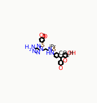 CC(C)N(CCCn1c(Sc2ccc3c(c2)OCO3)nc2c(N)ncnc21)C(=S)Nc1ccc(-c2c3ccc(=O)cc-3oc3cc(O)ccc23)c(C(=O)O)c1